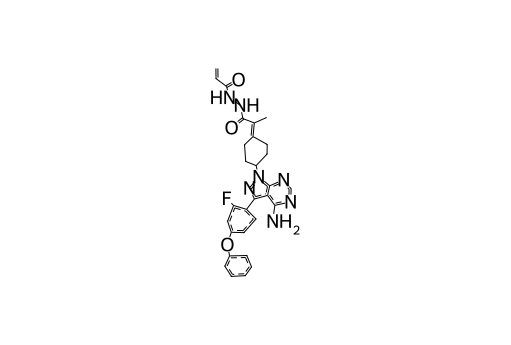 C=CC(=O)NNC(=O)C(C)=C1CCC(n2nc(-c3ccc(Oc4ccccc4)cc3F)c3c(N)ncnc32)CC1